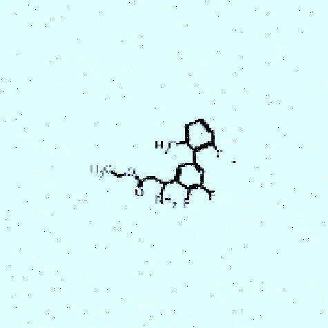 CCOC(=O)CC(N)c1cc(-c2c(C)cccc2C)cc(F)c1F